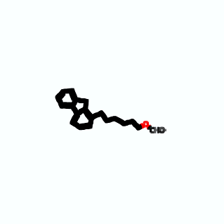 O=[C]OCCCCCCc1cccc2c1Cc1ccccc1-2